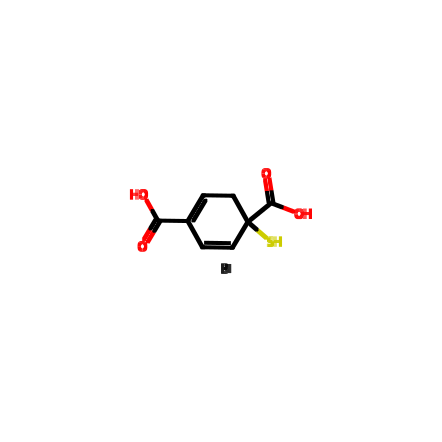 O=C(O)C1=CCC(S)(C(=O)O)C=C1.[B]